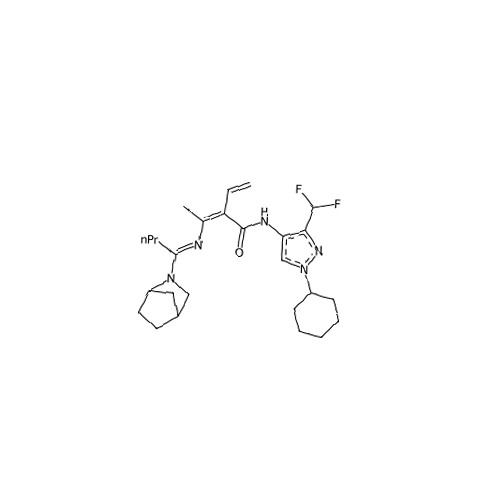 C=C/C(C(=O)Nc1cn(C2CCCCC2)nc1C(F)F)=C(C)/N=C(\CCC)N1CC2CCC1C2